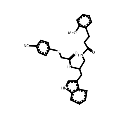 COc1ccccc1CCC(=O)NCC(Cc1c[nH]c2ccccc12)NC(=O)COc1ccc(C#N)cc1